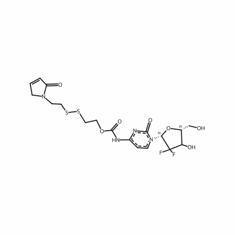 O=C(Nc1ccn([C@@H]2O[C@H](CO)C(O)C2(F)F)c(=O)n1)OCCSSCCN1CC=CC1=O